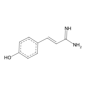 N=C(N)C=Cc1ccc(O)cc1